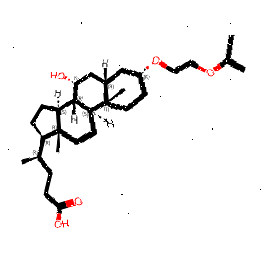 CC(C)OCCO[C@@H]1CC[C@@]2(C)[C@@H](C1)C[C@@H](O)[C@@H]1[C@@H]2CC[C@]2(C)[C@@H]([C@H](C)CCC(=O)O)CC[C@@H]12